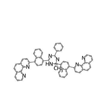 C[C@@]1(c2ccc(-c3ccc4ccc5cccnc5c4n3)c3ccccc23)N=C(c2ccccc2)N=C(c2ccc(-c3ccc4ccc5cccnc5c4n3)c3ccccc23)N1